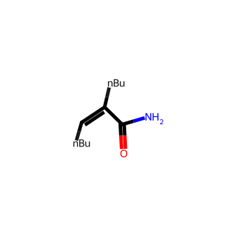 CCCCC=C(CCCC)C(N)=O